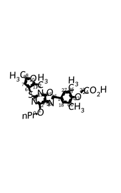 CCCOc1nc(Sc2cc(C)oc2C)nc2oc(-c3cc(C)c(OCC(=O)O)c(C)c3)nc12